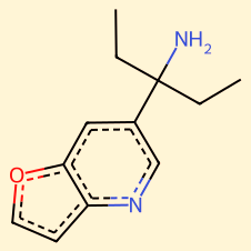 CCC(N)(CC)c1cnc2ccoc2c1